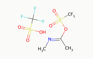 CN=C(C)OS(=O)(=O)C(F)(F)F.O=S(=O)(O)C(F)(F)F